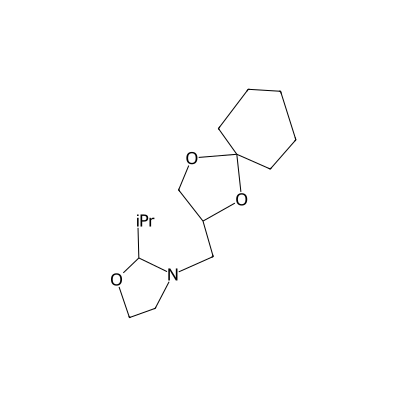 CC(C)C1OCCN1CC1COC2(CCCCC2)O1